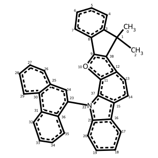 CC1(C)c2ccccc2-c2oc3c(ccc4c5ccccc5n(-c5cc6ccccc6c6ccccc56)c43)c21